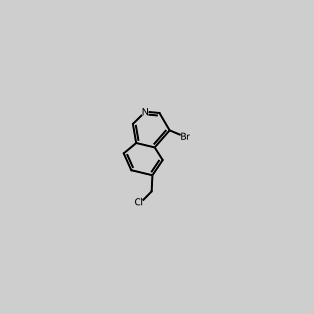 ClCc1ccc2cncc(Br)c2c1